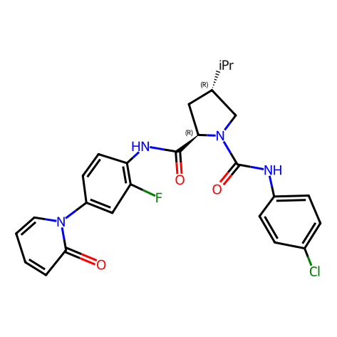 CC(C)[C@H]1C[C@H](C(=O)Nc2ccc(-n3ccccc3=O)cc2F)N(C(=O)Nc2ccc(Cl)cc2)C1